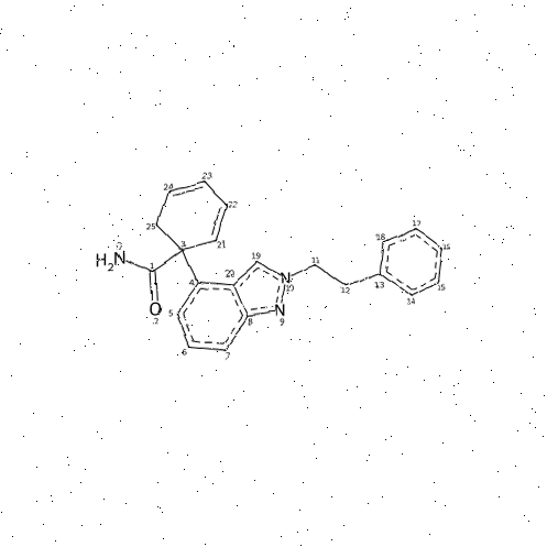 NC(=O)C1(c2cccc3nn(CCc4ccccc4)cc23)C=CC=CC1